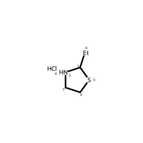 CCC1NCCS1.Cl